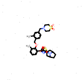 Cc1cc(CN2CCS(=O)(=O)CC2)ccc1COc1c(C)cccc1-c1csc(N2C3CCC2CC(C(=O)O)C3)n1